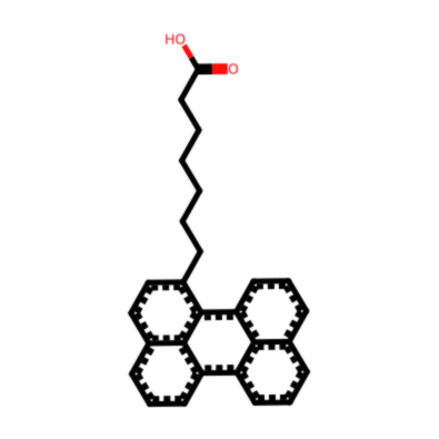 O=C(O)CCCCCCc1ccc2cccc3c4cccc5cccc(c1c23)c54